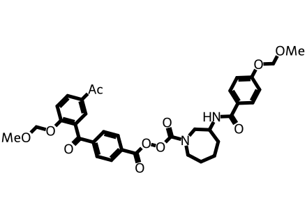 COCOc1ccc(C(=O)NC2CCCCN(C(=O)OOC(=O)c3ccc(C(=O)c4cc(C(C)=O)ccc4OCOC)cc3)C2)cc1